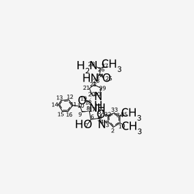 Cc1cc2nc(C(O)[C@@H](CCc3ccccc3)NC(=O)[C@@H]3C[C@@H](NC(=O)[C@@H](C)N)CN3)oc2cc1C